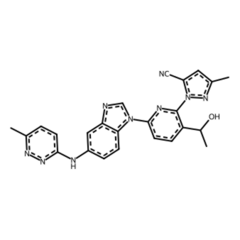 Cc1ccc(Nc2ccc3c(c2)ncn3-c2ccc(C(C)O)c(-n3nc(C)cc3C#N)n2)nn1